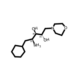 N[C@@H](CC1CCCCC1)[C@@H](O)[C@@H](O)CN1CCOCC1